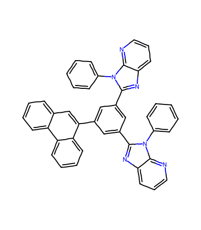 c1ccc(-n2c(-c3cc(-c4cc5ccccc5c5ccccc45)cc(-c4nc5cccnc5n4-c4ccccc4)c3)nc3cccnc32)cc1